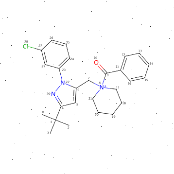 CC(C)(C)c1cc(C[N+]2(C(=O)c3ccccc3)CCCCC2)n(-c2cccc(Cl)c2)n1